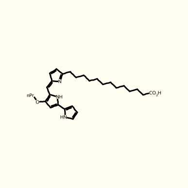 CCCOc1cc(-c2ccc[nH]2)[nH]c1C=C1C=CC(CCCCCCCCCCCCC(=O)O)=N1